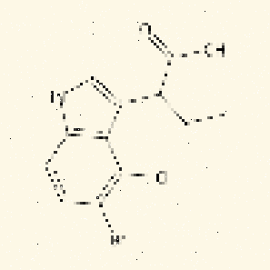 CCC(C(=O)O)c1c[nH]c2ccc(Br)c(Cl)c12